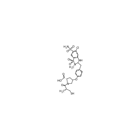 C[C@H](CS)C(=O)N1CC(Oc2ccc(CC3Nc4cc(Cl)c(S(N)(=O)=O)cc4S(=O)(=O)N3C)cc2)C[C@H]1C(=O)O